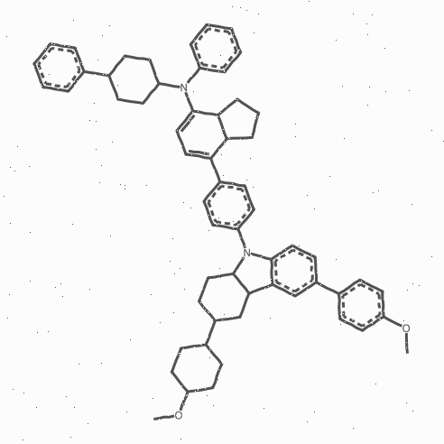 COc1ccc(-c2ccc3c(c2)C2CC(C4CCC(OC)CC4)CCC2N3c2ccc(C3=CC=C(N(c4ccccc4)C4CCC(c5ccccc5)CC4)C4CCCC34)cc2)cc1